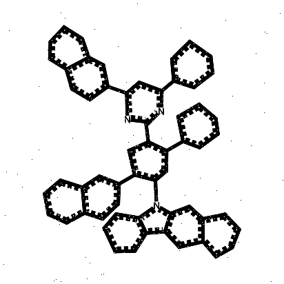 c1ccc(-c2cc(-c3ccc4ccccc4c3)nc(-c3cc(-c4ccc5ccccc5c4)c(-n4c5ccccc5c5cc6ccccc6cc54)cc3-c3ccccc3)n2)cc1